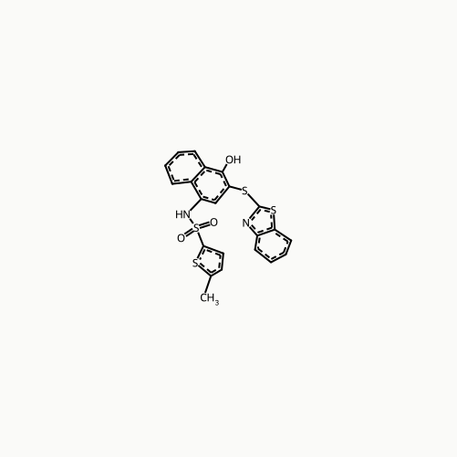 Cc1ccc(S(=O)(=O)Nc2cc(Sc3nc4ccccc4s3)c(O)c3ccccc23)s1